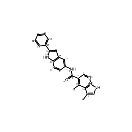 Cc1c[nH][n+]2ncc(C(=O)Nc3cnc4[nH]c(-c5ccccc5)cc4c3)c(C)c12